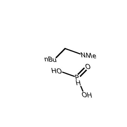 CCCCCNC.O=[PH](O)O